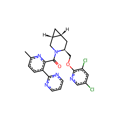 Cc1ccc(-c2ncccn2)c(C(=O)N2C[C@@H]3C[C@@H]3C[C@H]2COc2ncc(Cl)cc2Cl)n1